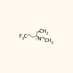 C=C/N=C(\C=C)CCC(F)(F)F